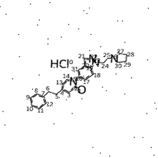 Cl.O=c1cc(CCc2ccccc2)ccn1-c1ccc2c(cnn2CCN2CCCC2)c1